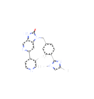 COc1cnccc1-c1cc2c(cn1)[nH]c(=O)n2Cc1ccc(-c2nc(C(F)(F)F)cn2C)cc1